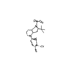 CC(C)(C)C1CC2C(CCCN2c2cnc(C#N)c(Cl)n2)N1C(=O)O